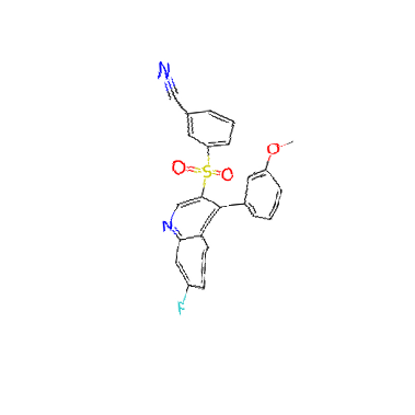 COc1cccc(-c2c(S(=O)(=O)c3cccc(C#N)c3)cnc3cc(F)ccc23)c1